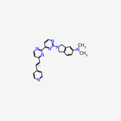 CN(C)c1ccc2c(c1)CN(c1nccc(-c3nccc(/C=C/c4ccncc4)n3)n1)C2